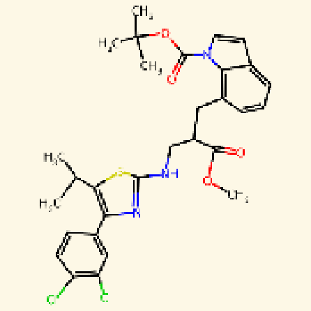 COC(=O)C(CNc1nc(-c2ccc(Cl)c(Cl)c2)c(C(C)C)s1)Cc1cccc2ccn(C(=O)OC(C)(C)C)c12